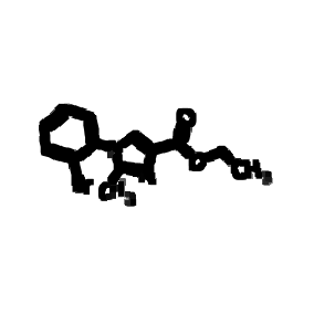 CCOC(=O)c1cn(-c2ccccc2Br)c(C)n1